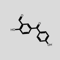 O=Cc1cc(C(=O)c2ccc(O)cc2)ccc1O